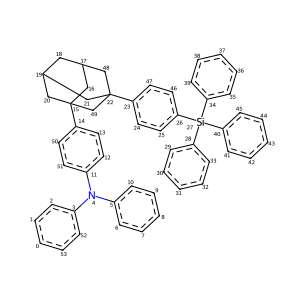 c1ccc(N(c2ccccc2)c2ccc(C34CC5CC(C3)CC(c3ccc([Si](c6ccccc6)(c6ccccc6)c6ccccc6)cc3)(C5)C4)cc2)cc1